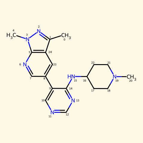 Cc1nn(C)c2ncc(-c3cncnc3NC3CCN(C)CC3)cc12